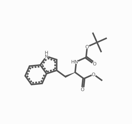 COC(=O)[C@@H](Cc1c[nH]c2ccccc12)NC(=O)OC(C)(C)C